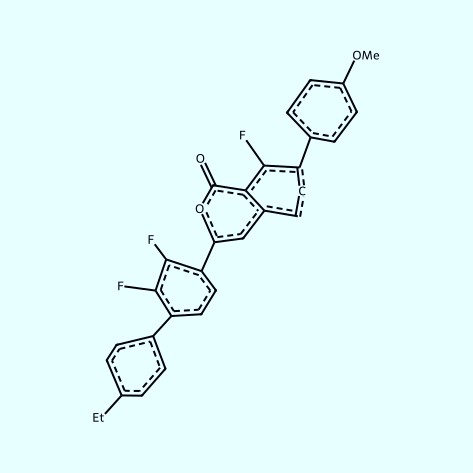 CCc1ccc(-c2ccc(-c3cc4ccc(-c5ccc(OC)cc5)c(F)c4c(=O)o3)c(F)c2F)cc1